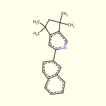 CC1(C)CC(C)(C)c2cc(-c3ccc4ccccc4c3)ncc21